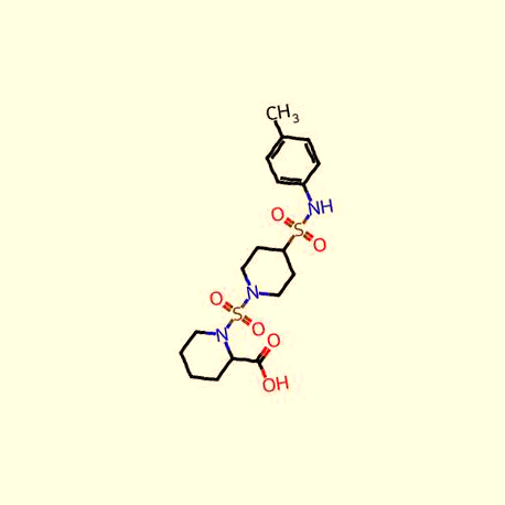 Cc1ccc(NS(=O)(=O)C2CCN(S(=O)(=O)N3CCCCC3C(=O)O)CC2)cc1